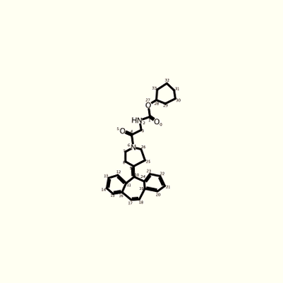 O=C(NCC(=O)N1CCC(=C2c3ccccc3C=Cc3ccccc32)CC1)OC1CCCCC1